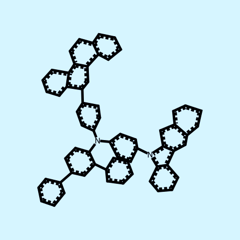 c1ccc(-c2ccc(N(c3ccc(-c4cc5c6ccccc6ccc5c5ccccc45)cc3)c3ccc(-n4c5ccccc5c5cc6ccccc6cc54)cc3)c(-c3ccccc3)c2)cc1